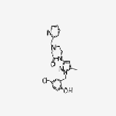 Cc1cc(N2CCN(Cc3ccccn3)CC2=O)nn1Cc1cc(Cl)ccc1O